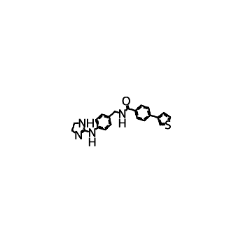 O=C(NCc1ccc(NC2=NCCN2)cc1)c1ccc(-c2ccsc2)cc1